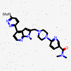 CNc1ccc(-c2ccnc3c2cc(CN2CCN(c4ccc(C(=O)N(C)C)cn4)CC2)n3C)nn1